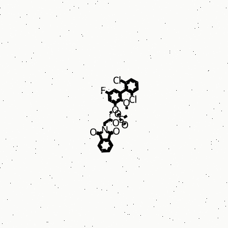 COc1c(OC[C@@H](CN2C(=O)c3ccccc3C2=O)OS(C)(=O)=O)cc(F)cc1-c1c(Cl)cccc1Cl